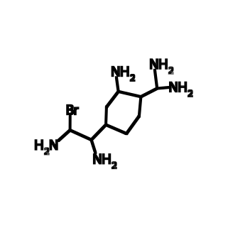 NC(N)C1CCC(C(N)C(N)Br)CC1N